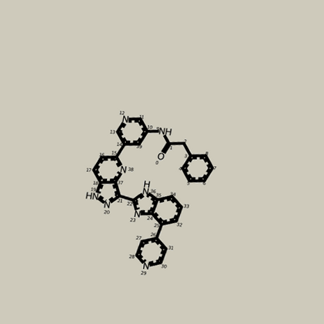 O=C(Cc1ccccc1)Nc1cncc(-c2ccc3[nH]nc(-c4nc5c(-c6ccncc6)cccc5[nH]4)c3n2)c1